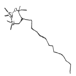 CCCCCCCCCCCCC1C[Si](C)(C)[Si](C)(C)OC1(C)C